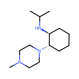 CC(C)N[C@H]1CCCC[C@@H]1N1CCN(C)CC1